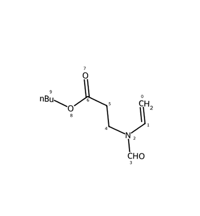 C=CN(C=O)CCC(=O)OCCCC